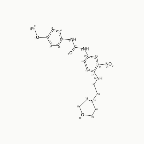 CC(C)Oc1ccc(NC(=O)Nc2ccc(NCCN3CCOCC3)c([N+](=O)[O-])c2)cc1